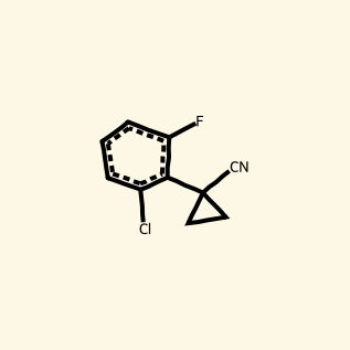 N#CC1(c2c(F)cccc2Cl)CC1